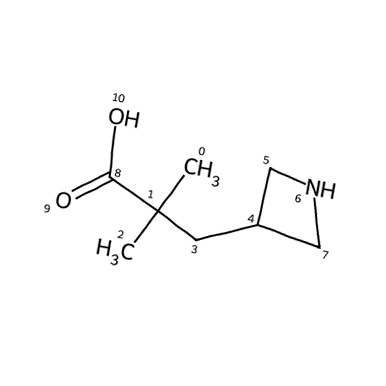 CC(C)(CC1CNC1)C(=O)O